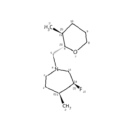 C[C@H]1CCN(C[C@H]2OCCC[C@@H]2C)C[C@H]1F